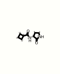 O=C(N[C@@H]1CCNC1=O)C1CCC1